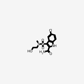 CN(CCO)S(=O)(=O)c1c(C(N)=O)[nH]c2ccc(Cl)cc12